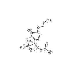 CCCOc1ccc(C(=C=CC(=O)O)C(C)(C)C)cc1Cl